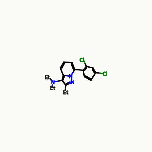 CCc1nn2c(-c3ccc(Cl)cc3Cl)cccc2c1N(CC)CC